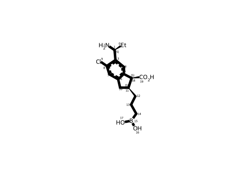 CC[C@H](N)c1cc2c(cc1Cl)C[C@H](CCCB(O)O)[C@@H]2C(=O)O